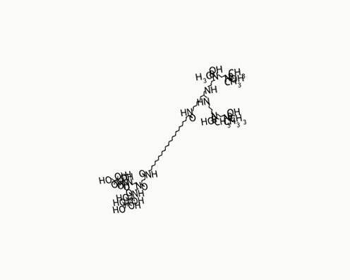 CB(O)N(C)CCCN(CCCCNCC(CCCCCCNC(=O)CCCCCCCCCCCCCCCCCCCCCCCNC(=O)CCC(=O)N(CCNC(=O)[C@@H](O)[C@H](O)[C@@H](O)[C@H](O)CO)CCNC(=O)[C@H](O)[C@@H](O)[C@H](O)[C@@H](O)CO)CNCCCCN(CCCN(C)B(C)O)B(C)O)B(C)O